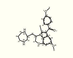 COc1ccc(C(=O)c2c(C)n3c4c(cc(OC)cc24)OCC3CC2CNCCCN2)cc1